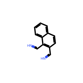 N=Cc1ccc2ccccc2c1C=N